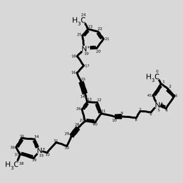 Cc1ccc[n+](CCCC#Cc2cc(C#CCCC[n+]3cccc(C)c3)cc(C#CCCC[n+]3cccc(C)c3)c2)c1